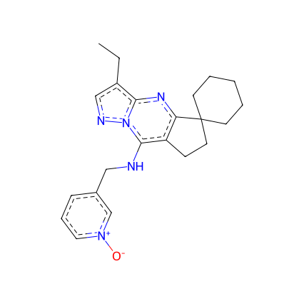 CCc1cnn2c(NCc3ccc[n+]([O-])c3)c3c(nc12)C1(CCCCC1)CC3